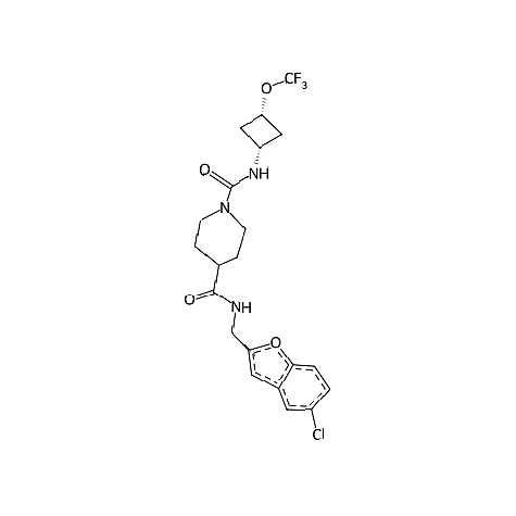 O=C(NCc1cc2cc(Cl)ccc2o1)C1CCN(C(=O)N[C@H]2C[C@@H](OC(F)(F)F)C2)CC1